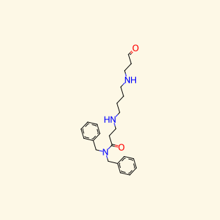 O=CCCNCCCCNCCC(=O)N(Cc1ccccc1)Cc1ccccc1